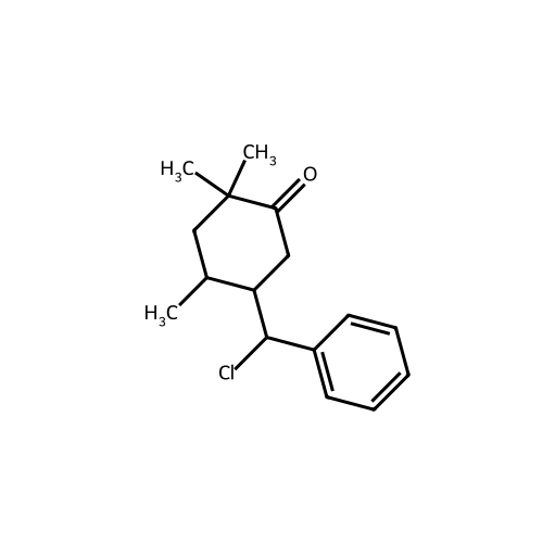 CC1CC(C)(C)C(=O)CC1C(Cl)c1ccccc1